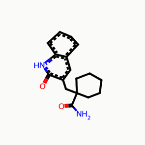 NC(=O)C1(Cc2cc3ccccc3[nH]c2=O)CCCCC1